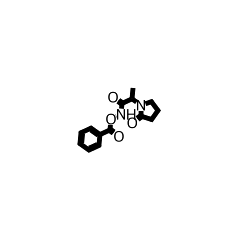 CC(C(=O)NOC(=O)c1ccccc1)N1CCCC1=O